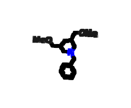 COCC1CC(COC)CN(Cc2ccccc2)C1